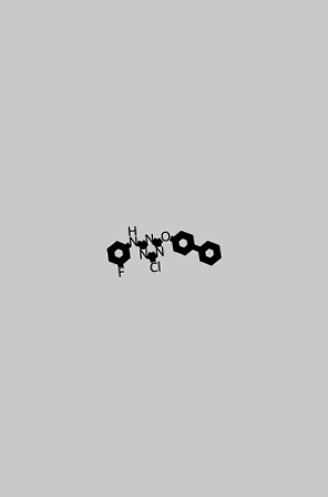 Fc1cccc(Nc2nc(Cl)nc(Oc3ccc(-c4ccccc4)cc3)n2)c1